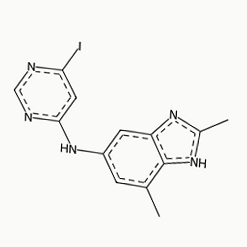 Cc1nc2cc(Nc3cc(I)ncn3)cc(C)c2[nH]1